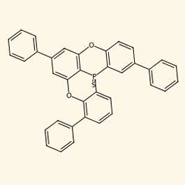 S=P12c3cc(-c4ccccc4)ccc3Oc3cc(-c4ccccc4)cc(c31)Oc1c(-c3ccccc3)cccc12